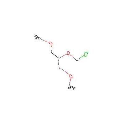 CC(C)OCC(COC(C)C)OCCl